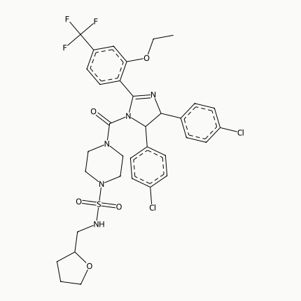 CCOc1cc(C(F)(F)F)ccc1C1=NC(c2ccc(Cl)cc2)C(c2ccc(Cl)cc2)N1C(=O)N1CCN(S(=O)(=O)NCC2CCCO2)CC1